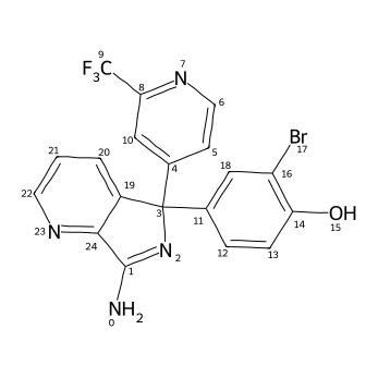 NC1=NC(c2ccnc(C(F)(F)F)c2)(c2ccc(O)c(Br)c2)c2cccnc21